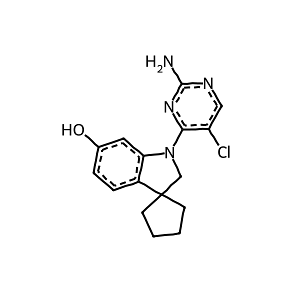 Nc1ncc(Cl)c(N2CC3(CCCC3)c3ccc(O)cc32)n1